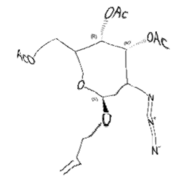 C=CCO[C@H]1OC(COC(C)=O)[C@H](OC(C)=O)[C@H](OC(C)=O)C1N=[N+]=[N-]